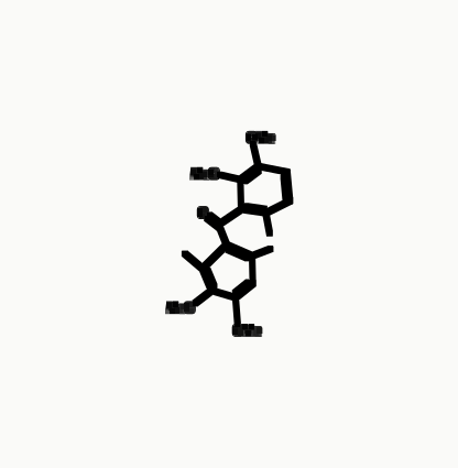 COc1cc(C)c(C(=O)c2c(C)ccc(OC)c2OC)c(C)c1OC